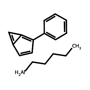 CCCC[CH2][AlH2].c1ccc(-c2ccc3cc2-3)cc1